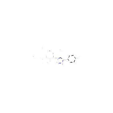 CC(=O)OC[C@H]1O[C@@](O)(Cl)[C@H](OC(C)=O)[C@@H](n2cc(-c3cc(F)c(F)c(F)c3)nn2)[C@H]1OC(C)=O